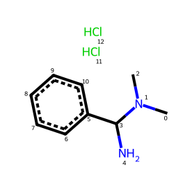 CN(C)C(N)c1ccccc1.Cl.Cl